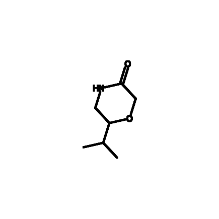 CC(C)C1CNC(=O)CO1